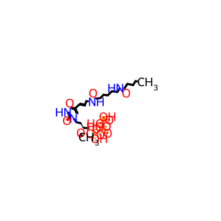 CCCCC(=O)NCCCCCC(=O)NC/C=C/c1cn(CC[C@@H](COP(=O)(O)OP(=O)(O)OP(=O)(O)O)OC)c(=O)[nH]c1=O